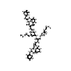 CCOC(=O)CNCCN(CCC(=O)NCCN(Cc1ccccn1)Cc1ccccn1)CCN(CCNCC(=O)NCCN(Cc1ccccn1)Cc1ccccn1)CC(=O)OCC